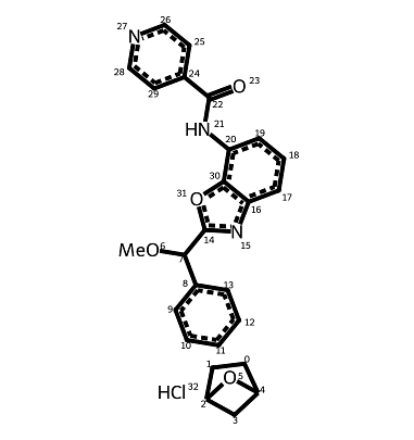 C1CC2CC1O2.COC(c1ccccc1)c1nc2cccc(NC(=O)c3ccncc3)c2o1.Cl